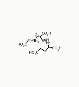 CCC(C)C(N)C(=O)O.NC(CCC(=O)O)C(=O)O.NCC(=O)O